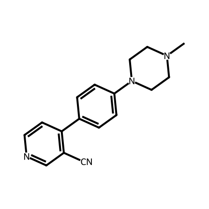 CN1CCN(c2ccc(-c3ccncc3C#N)cc2)CC1